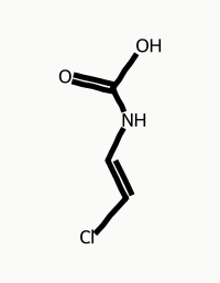 O=C(O)NC=CCl